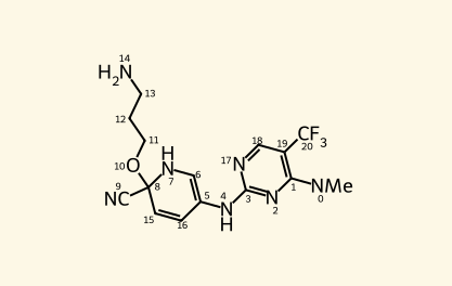 CNc1nc(NC2=CNC(C#N)(OCCCN)C=C2)ncc1C(F)(F)F